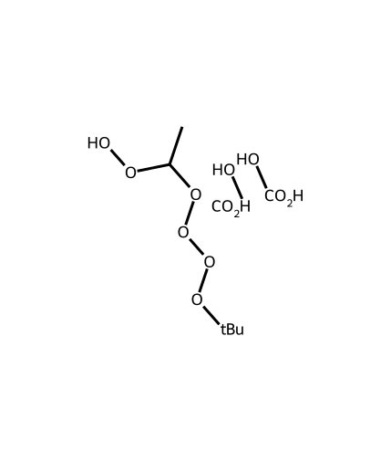 CC(OO)OOOOC(C)(C)C.O=C(O)O.O=C(O)O